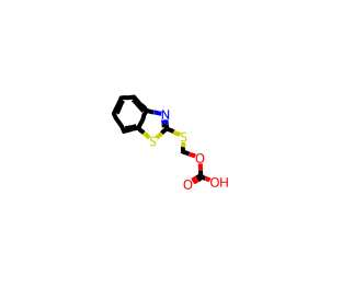 O=C(O)OCSc1nc2ccccc2s1